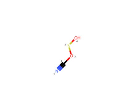 N#COSO